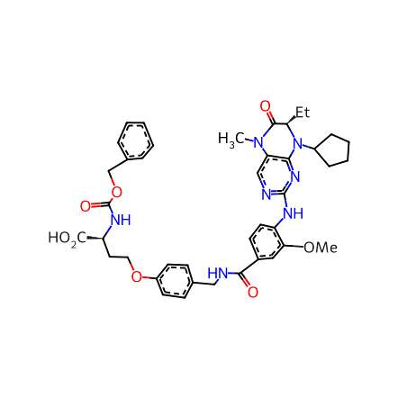 CC[C@@H]1C(=O)N(C)c2cnc(Nc3ccc(C(=O)NCc4ccc(OCC[C@H](NC(=O)OCc5ccccc5)C(=O)O)cc4)cc3OC)nc2N1C1CCCC1